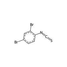 S=C=Nc1ccc(Br)cc1Br